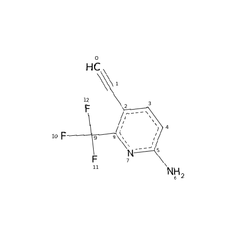 C#Cc1ccc(N)nc1C(F)(F)F